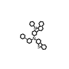 c1ccc(-c2cccc(N(c3ccc4c(c3)sc3ccccc34)c3ccc4c(c3)c3ccc5ccccc5c3n4-c3ccccc3)c2)cc1